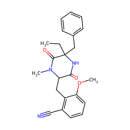 CCC1(Cc2ccccc2)NC(=O)C(Cc2c(C#N)cccc2OC)N(C)C1=O